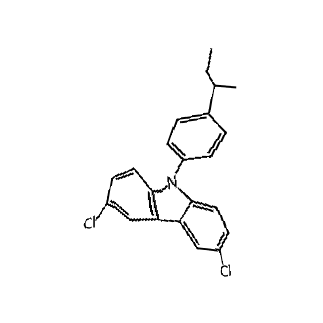 CCC(C)c1ccc(-n2c3ccc(Cl)cc3c3cc(Cl)ccc32)cc1